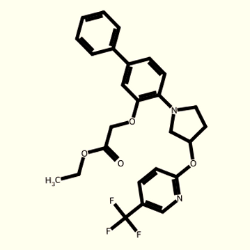 CCOC(=O)COc1cc(-c2ccccc2)ccc1N1CCC(Oc2ccc(C(F)(F)F)cn2)C1